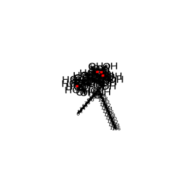 CCCCCCCCCCCCC/C=C/[C@@H](O)[C@H](CO[C@@H]1OC(CO)[C@@H](O[C@@H]2OC(CO)[C@H](O)[C@H](O[C@@H]3OC(CO)[C@@H](O[C@@H]4OC(CO)[C@H](O)[C@H](O[C@@H]5OC(CO)[C@@H](O[C@@H]6OC(CO)[C@H](O)[C@H](O[C@H]7OC(CO)[C@H](O)[C@H](O)C7O)C6O[C@H]6OC(C)[C@@H](O)C(O)[C@@H]6O)[C@H](O)C5NC(C)=O)C4O)[C@H](O)C3NC(C)=O)C2O)[C@H](O)C1O)NC(=O)CCCCCCCCCCCCCCCCCCCCC